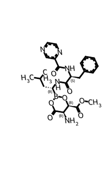 COC(=O)[C@@H]1OB([C@H](CC(C)C)NC(=O)[C@H](Cc2ccccc2)NC(=O)c2cnccn2)OC(=O)[C@@H]1N